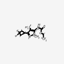 Cc1c(C2CC(F)(F)C2)nn(C)c1NC(=O)OCC(F)(F)F